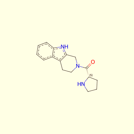 O=C([C@@H]1CCCN1)N1CCc2c([nH]c3ccccc23)C1